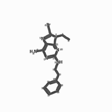 CCn1c(Br)nc2c(N)nc(NCCc3ccccc3)nc21